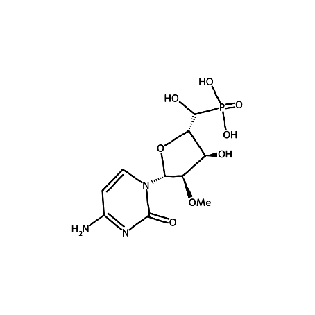 CO[C@@H]1[C@H](O)[C@@H](C(O)P(=O)(O)O)O[C@H]1n1ccc(N)nc1=O